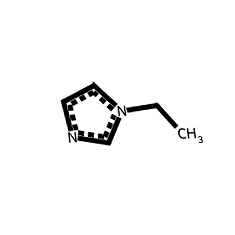 CCn1[c]cnc1